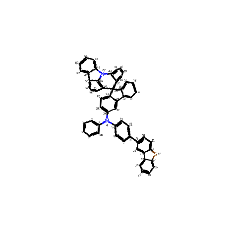 c1ccc(N(c2ccc(-c3ccc4sc5ccccc5c4c3)cc2)c2ccc3c(c2)-c2ccccc2C32c3ccccc3-n3c4ccccc4c4cccc2c43)cc1